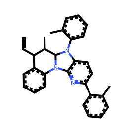 C=CC1c2ccccc2N2c3nc(-c4ccccc4C)ccc3N(c3ccccc3C)C2C1C